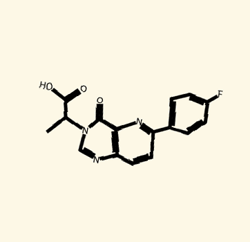 CC(C(=O)O)n1cnc2ccc(-c3ccc(F)cc3)nc2c1=O